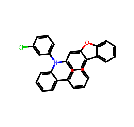 Clc1cccc(N(c2ccc3c(c2)oc2ccccc23)c2ccccc2-c2ccccc2)c1